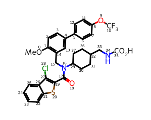 COc1ccc(-c2ccc(OC(F)(F)F)cc2)cc1CN(C(=O)c1sc2ccccc2c1Cl)C1CCC(CNC(=O)O)CC1